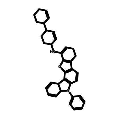 C1=CC2c3c(ccc4c5c(oc34)C(NC3C=CC(C4C=CCCC4)CC3)=CCC5)N(c3ccccc3)C2C=C1